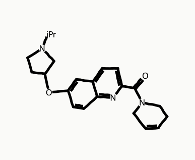 CC(C)N1CCC(Oc2ccc3nc(C(=O)N4CC=CCC4)ccc3c2)C1